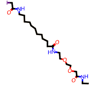 CCNC(=O)COCCOCCNC(=O)CCCCCCCCCCCNC(=O)CI